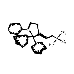 C[Si](C)(C)CC=C1CCP(c2ccccc2)C1(c1ccccc1)c1ccccc1